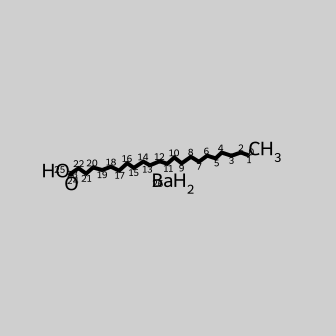 CCCCCCCCCCCCCCCCCCCCCCCC(=O)O.[BaH2]